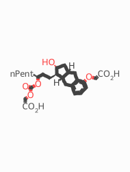 CCCCC[C@@H](CC[C@@H]1[C@H]2Cc3cccc(OCC(=O)O)c3C[C@H]2C[C@H]1O)OC(=O)OCC(=O)O